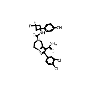 N#Cc1ccc(C2(NC(=O)N3CCn4nc(-c5ccc(Cl)c(Cl)c5)c(C(N)=O)c4C3)CC(F)(F)C2)cc1